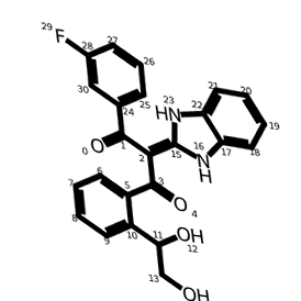 O=C(C(C(=O)c1ccccc1C(O)CO)=C1Nc2ccccc2N1)c1cccc(F)c1